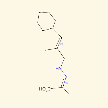 C/C(=N/NC/C(C)=C/C1CCCCC1)C(=O)O